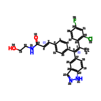 CC/C(=C(/c1ccc(/C=C/C(=O)NCCO)cc1)c1ccc2[nH]ncc2c1)c1ccc(F)cc1Cl